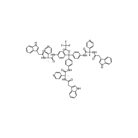 C[C@@](NC(=O)Cc1c[nH]c2ccccc12)(C(=O)Nc1ccc(C(OC(=O)C(F)(F)F)(c2ccc(NC(=O)[C@@](C)(NC(=O)Cc3c[nH]c4ccccc34)c3ccncc3)cc2)c2ccc(NC(=O)[C@@](C)(NC(=O)Cc3c[nH]c4ccccc34)c3ccncc3)cc2)cc1)c1ccncc1